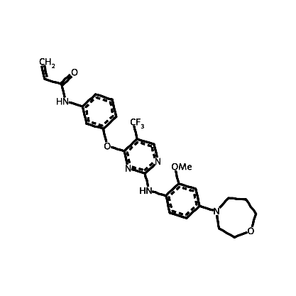 C=CC(=O)Nc1cccc(Oc2nc(Nc3ccc(N4CCCOCC4)cc3OC)ncc2C(F)(F)F)c1